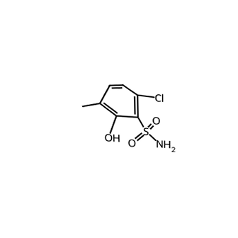 Cc1ccc(Cl)c(S(N)(=O)=O)c1O